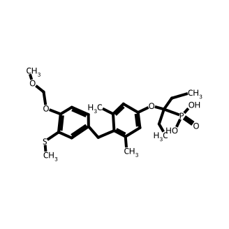 CCC(CC)(Oc1cc(C)c(Cc2ccc(OCOC)c(SC)c2)c(C)c1)P(=O)(O)O